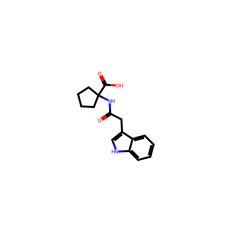 O=C(Cc1c[nH]c2ccccc12)NC1(C(=O)O)CCCC1